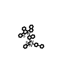 c1ccc(-c2ccc(-c3nc(-c4ccc(-n5c6ccc7ccccc7c6c6c7ccccc7c7c8ccccc8sc7c65)c5ccccc45)c4sc5ccccc5c4n3)cc2)cc1